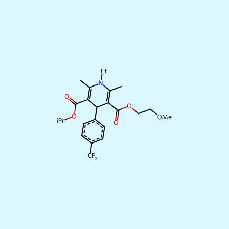 CCN1C(C)=C(C(=O)OCCOC)C(c2ccc(C(F)(F)F)cc2)C(C(=O)OC(C)C)=C1C